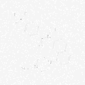 CN1CCN(c2cccc3c2C[C@H](N(C)C(=O)c2ccc(C(F)(F)F)cc2)CC3)CC1